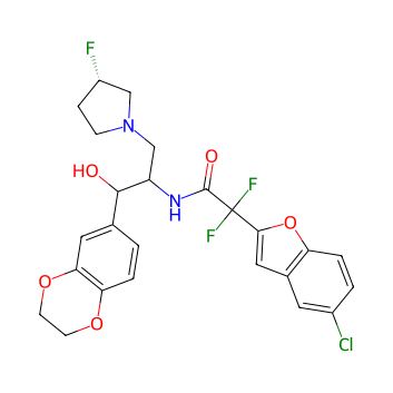 O=C(NC(CN1CC[C@H](F)C1)C(O)c1ccc2c(c1)OCCO2)C(F)(F)c1cc2cc(Cl)ccc2o1